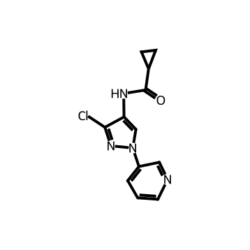 O=C(Nc1cn(-c2cccnc2)nc1Cl)C1CC1